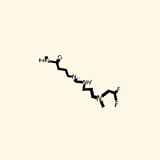 CNC(=O)CCC/N=C/NCCCN(C)CC(F)F